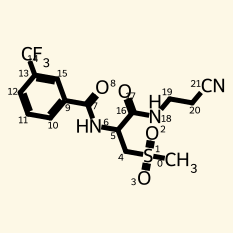 CS(=O)(=O)CC(NC(=O)c1cccc(C(F)(F)F)c1)C(=O)NCCC#N